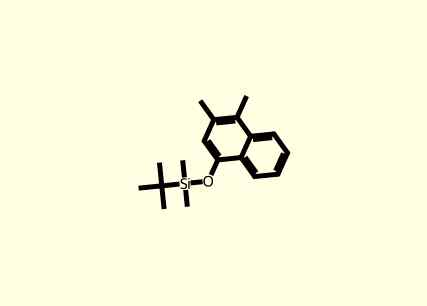 Cc1cc(O[Si](C)(C)C(C)(C)C)c2ccccc2c1C